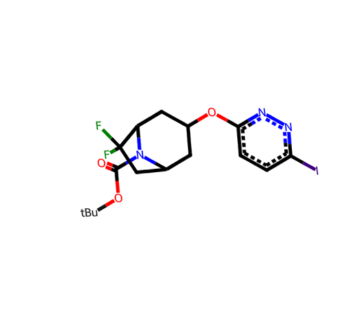 CC(C)(C)OC(=O)N1C2CC(Oc3ccc(I)nn3)CC1C(F)(F)C2